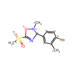 Cc1cc(C2N=C(S(C)(=O)=O)ON2C)ccc1Br